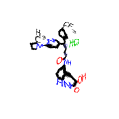 CC1CCCN1c1ccc(/C(=C\C=C\C(=O)Nc2cccc3c2CC(O)C(=O)N3)c2ccc(C(F)(F)F)cc2)cn1.Cl